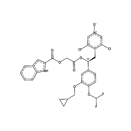 O=C(COC(=O)c1cc2ccccc2[nH]1)O[C@@H](Cc1c(Cl)c[n+]([O-])cc1Cl)c1ccc(OC(F)F)c(OCC2CC2)c1